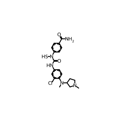 CN1CCC(N(C)c2ccc(NC(=O)N(S)c3ccc(C(N)=O)cc3)cc2Cl)C1